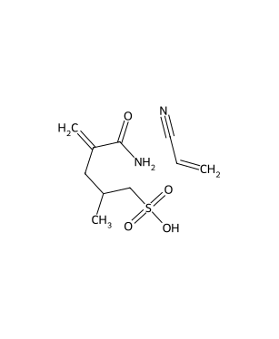 C=C(CC(C)CS(=O)(=O)O)C(N)=O.C=CC#N